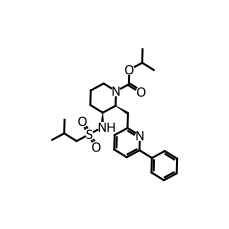 CC(C)CS(=O)(=O)N[C@H]1CCCN(C(=O)OC(C)C)[C@H]1Cc1cccc(-c2ccccc2)n1